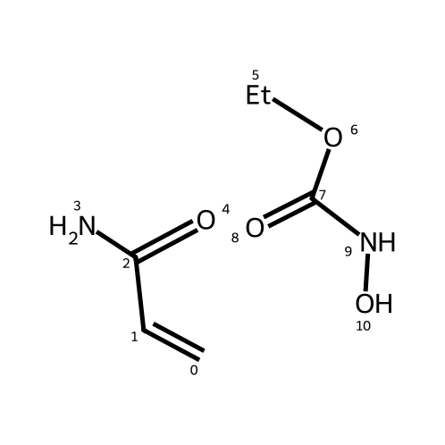 C=CC(N)=O.CCOC(=O)NO